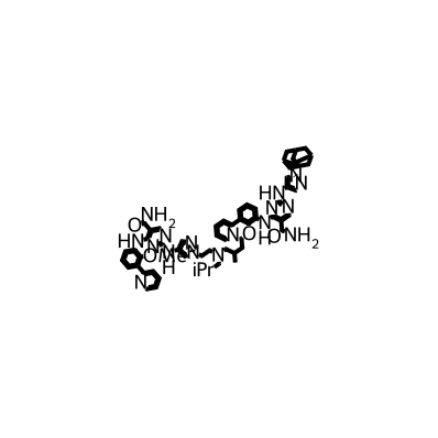 COc1c(Nc2nc(Nc3cnn(CCN(CC(C)C)CC(C)CCOc4c(Nc5nc(Nc6cnn(C78CC9CC(CC(C9)C7)C8)c6)ncc5C(N)=O)cccc4-c4ccccn4)c3)ncc2C(N)=O)cccc1-c1ccccn1